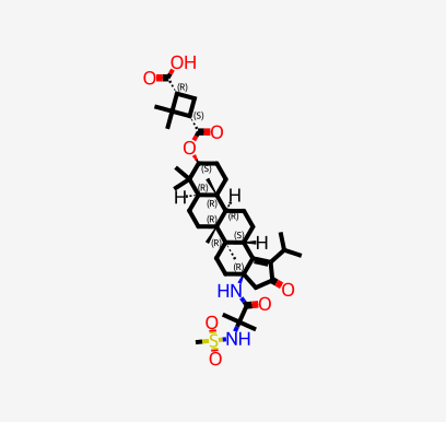 CC(C)C1=C2[C@H]3CC[C@@H]4[C@@]5(C)CC[C@H](OC(=O)[C@H]6C[C@@H](C(=O)O)C6(C)C)C(C)(C)[C@@H]5CC[C@@]4(C)[C@]3(C)CC[C@@]2(NC(=O)C(C)(C)NS(C)(=O)=O)CC1=O